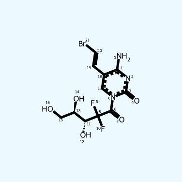 Nc1nc(=O)n(C(=O)C(F)(F)[C@H](O)[C@H](O)CO)cc1/C=C/Br